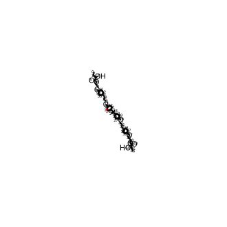 CC=C(O)C(=O)OCCOc1ccc(CCCOc2ccc(C(C)(C)c3ccc(OCCCc4ccc(OCCOC(=O)C(O)=CC)cc4)cc3)cc2)cc1